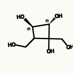 OCC1[C@@H](O)[C@H](O)C1(O)CO